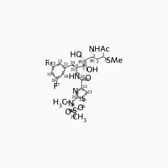 CSCC[C@@H](NC(C)=O)[C@@H](O)[C@H](O)[C@H](Cc1cc(F)cc(F)c1)NC(=O)c1csc(N(C)S(C)(=O)=O)n1